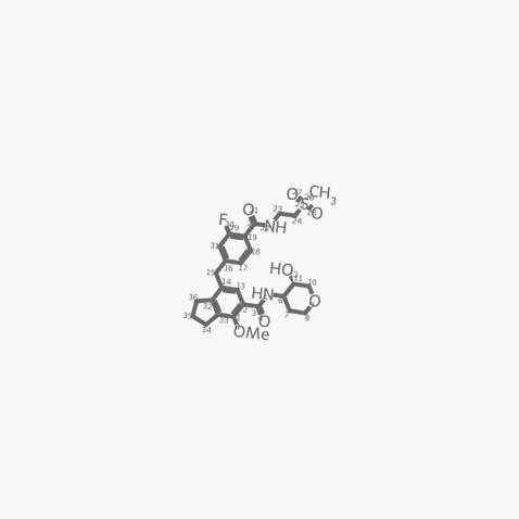 COc1c(C(=O)NC2CCOC[C@@H]2O)cc(Cc2ccc(C(=O)NCCS(C)(=O)=O)c(F)c2)c2c1CCC2